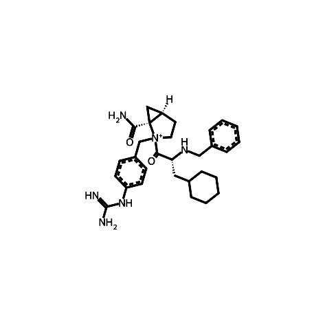 N=C(N)Nc1ccc(C[N+]2(C(=O)[C@@H](CC3CCCCC3)NCc3ccccc3)CC[C@@H]3C[C@@]32C(N)=O)cc1